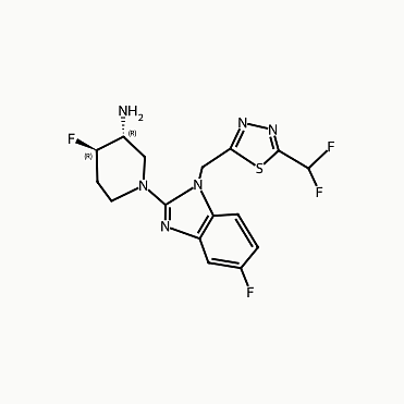 N[C@@H]1CN(c2nc3cc(F)ccc3n2Cc2nnc(C(F)F)s2)CC[C@H]1F